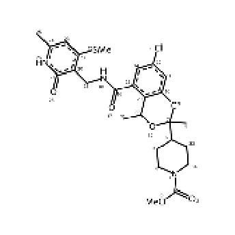 COC(=O)N1CCC(C2(C)Oc3cc(Cl)cc(C(=O)NCc4c(SC)cc(C)[nH]c4=O)c3C(C)O2)CC1